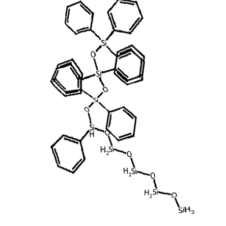 [SiH3]O[SiH2]O[SiH2]O[SiH2]O[SiH](O[Si](O[Si](O[Si](c1ccccc1)(c1ccccc1)c1ccccc1)(c1ccccc1)c1ccccc1)(c1ccccc1)c1ccccc1)c1ccccc1